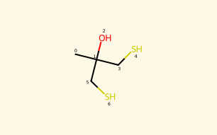 CC(O)(CS)CS